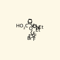 CCN(CC)CC.O=C(O)C1C2C=CC(C2)C1C(=O)OCCC(F)(F)C(F)(F)Br